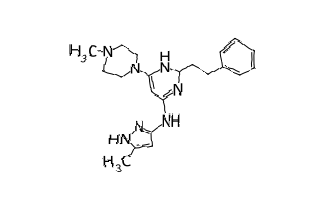 Cc1cc(NC2=NC(CCc3ccccc3)NC(N3CCN(C)CC3)=C2)n[nH]1